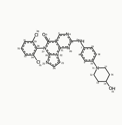 O=c1c2cnc(Nc3ccc(N4CCC(O)CC4)cc3)nc2n2ccnc2n1-c1c(Cl)cccc1Cl